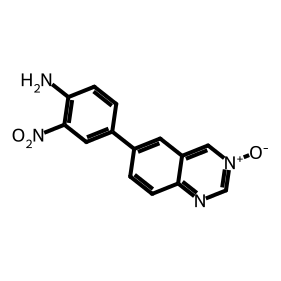 Nc1ccc(-c2ccc3nc[n+]([O-])cc3c2)cc1[N+](=O)[O-]